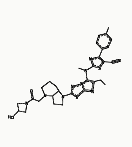 CCc1nc2sc(N3CCC4C3CCCN4CC(=O)N3CC(O)C3)nn2c1N(C)c1nc(-c2ccc(C)cc2)c(C#N)s1